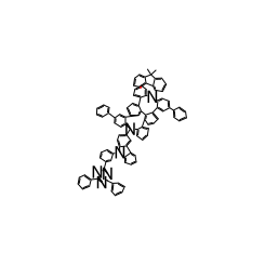 CC1(C)c2ccccc2-c2c(-n3c4ccccc4c4cccc5c6cc(-c7ccccc7)ccc6n(-c6ccc7c(c6)c6ccccc6n7-c6cccc(-c7nc(-c8ccccc8)nc(-c8ccccc8)n7)c6)c6ccccc6c6cccc(c7cc(-c8ccccc8)ccc73)c6c54)cccc21